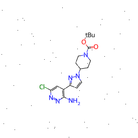 CC(C)(C)OC(=O)N1CCC(n2ccc(-c3cc(Cl)nnc3N)n2)CC1